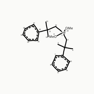 C[O][Hf]([CH2]C(C)(C)c1ccccc1)([CH2]C(C)(C)c1ccccc1)[O]C